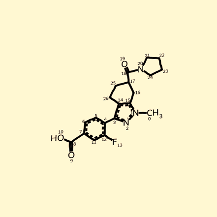 Cn1nc(-c2ccc(C(=O)O)cc2F)c2c1CC(C(=O)N1CCCC1)CC2